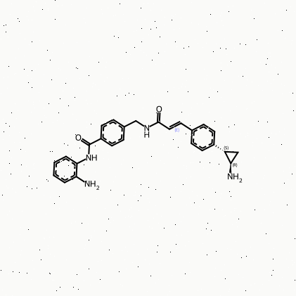 Nc1ccccc1NC(=O)c1ccc(CNC(=O)/C=C/c2ccc([C@@H]3C[C@H]3N)cc2)cc1